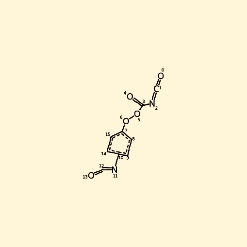 O=C=NC(=O)OOc1ccc(N=C=O)cc1